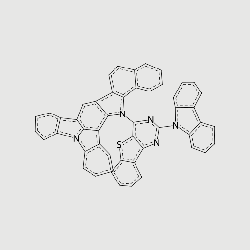 c1ccc2c(c1)ccc1c3cc4c5ccccc5n5c6ccccc6c(c3n(-c3nc(-n6c7ccccc7c7ccccc76)nc6c3sc3ccccc36)c21)c45